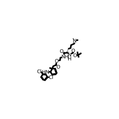 CN(C)CCCC[C@H](NC(=O)OC(C)(C)C)C(=O)NCCOC(=O)CC1(C)C=CC=CC1Nc1c(Cl)cccc1Cl